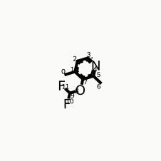 Cc1c[c]nc(C)c1OC(F)F